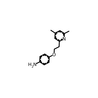 Cc1cc(C)nc(CCOc2ccc(N)cc2)c1